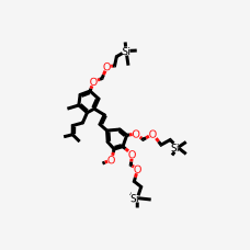 COc1cc(/C=C/c2cc(OCOCC[Si](C)(C)C)cc(C)c2CC=C(C)C)cc(OCOCC[Si](C)(C)C)c1OCOCC[Si](C)(C)C